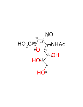 CC(=O)N[C@H]1[C@H]([C@H](O)[C@H](O)CO)OC(C(=O)O)C[C@@H]1N=O